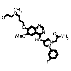 COc1cc2c(NC3=CN(CC(N)=O)N(c4cccc(F)c4)C3)ncnc2cc1OCCCN(C)CCO